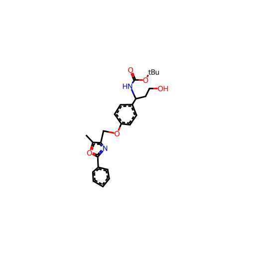 Cc1oc(-c2ccccc2)nc1COc1ccc(C(CCO)NC(=O)OC(C)(C)C)cc1